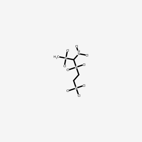 C[Si](Cl)(Cl)C([SiH](Cl)Cl)[Si](Cl)(Cl)CC[Si](Cl)(Cl)Cl